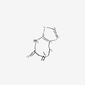 O=C1NCC2=C(CC=C2)N1